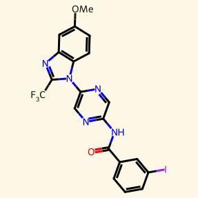 COc1ccc2c(c1)nc(C(F)(F)F)n2-c1cnc(NC(=O)c2cccc(I)c2)cn1